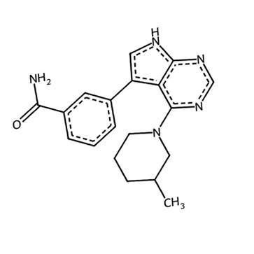 CC1CCCN(c2ncnc3[nH]cc(-c4cccc(C(N)=O)c4)c23)C1